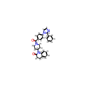 O=C(c1ccc(-n2ccnc2-c2ccccc2)cc1)N1CCC(N2C(=O)CCc3ccccc32)CC1